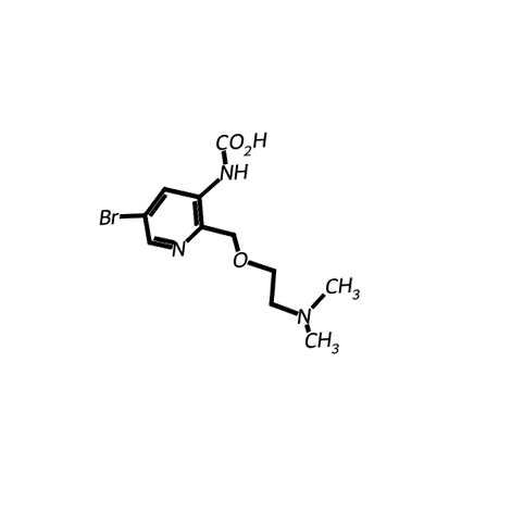 CN(C)CCOCc1ncc(Br)cc1NC(=O)O